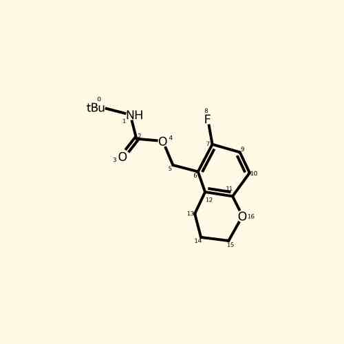 CC(C)(C)NC(=O)OCc1c(F)ccc2c1CCCO2